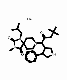 CC(C)CN1C(=O)N(C)C(=O)C12CCN(C(C(=O)CC(C)(C)C)C1CNCC1c1ccccc1)CC2.Cl